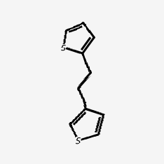 c1csc(CCc2ccsc2)c1